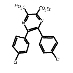 CCOC(=O)c1nc(-c2ccc(Cl)cc2)c(-c2ccc(Cl)cc2)nc1C(=O)O